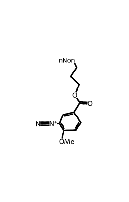 CCCCCCCCCCCCOC(=O)c1ccc(OC)c([N+]#N)c1